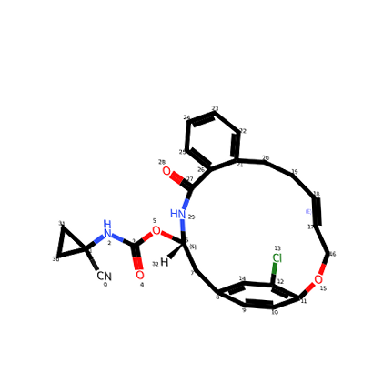 N#CC1(NC(=O)O[C@H]2Cc3ccc(c(Cl)c3)OC/C=C/CCc3ccccc3C(=O)N2)CC1